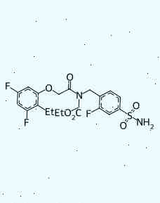 CCOC(=O)CN(Cc1ccc(S(N)(=O)=O)cc1F)C(=O)COc1cc(F)cc(F)c1CC